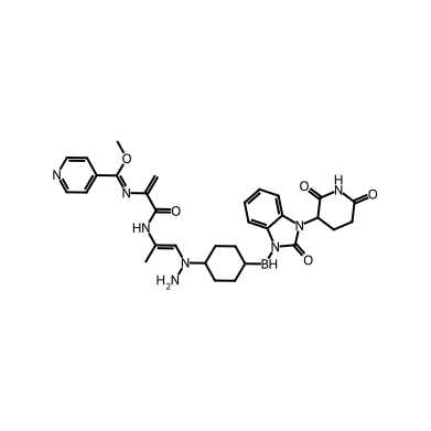 C=C(/N=C(\OC)c1ccncc1)C(=O)N/C(C)=C/N(N)C1CCC(Bn2c(=O)n(C3CCC(=O)NC3=O)c3ccccc32)CC1